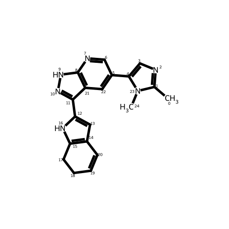 Cc1ncc(-c2cnc3[nH]nc(-c4cc5c([nH]4)CCC=C5)c3c2)n1C